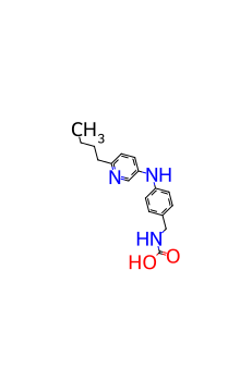 CCCCc1ccc(Nc2ccc(CNC(=O)O)cc2)cn1